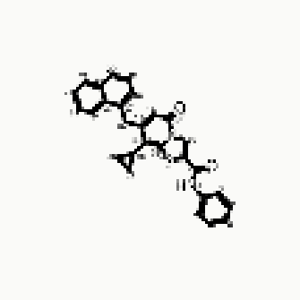 O=C(Nc1ccccc1)c1cn2c(=O)cc(Cc3cccc4ccccc34)c(C3CC3)c2s1